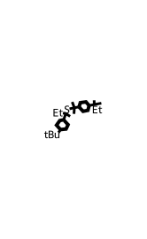 CCC(C)(C)c1ccc(C(C)(C)SC(C)(CC)c2ccc(C(C)(C)C)cc2)cc1